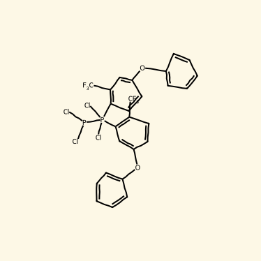 FC(F)(F)c1cc(Oc2ccccc2)ccc1P(Cl)(Cl)(c1cc(Oc2ccccc2)ccc1C(F)(F)F)P(Cl)Cl